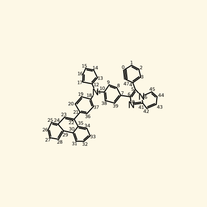 c1cccc(-c2c(-c3ccc(N(c4ccccc4)c4ccc(-c5cc6ccccc6c6ccccc56)cc4)cc3)nc3ccccn23)c#1